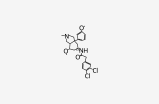 COc1cccc(C23CCN(C)CC2C(OC)C[C@@H](NC(=O)Cc2ccc(Cl)c(Cl)c2)C3)c1